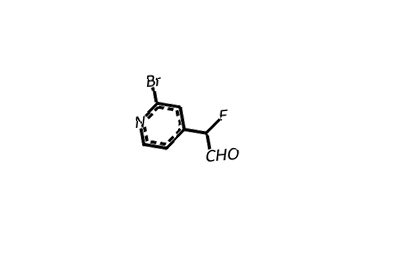 O=CC(F)c1ccnc(Br)c1